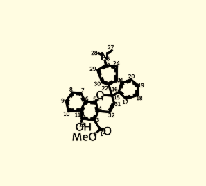 COC(=O)c1c2c(c3ccccc3c1O)OC(c1ccccc1)(c1ccc(N(C)C)cc1)C=C2